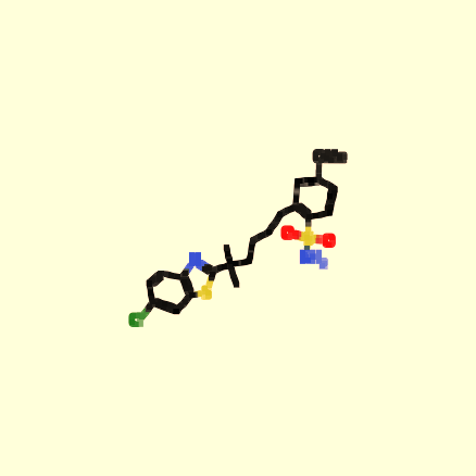 COc1ccc(S(N)(=O)=O)c(CCCCC(C)(C)c2nc3ccc(Cl)cc3s2)c1